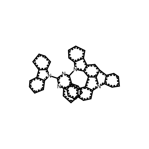 c1ccc2c(c1)ccc1c2c2c3c(cc4c5ccccc5n1c42)c1ccccc1n3-c1nc(-n2c3ccccc3c3ccccc32)nc2ccccc12